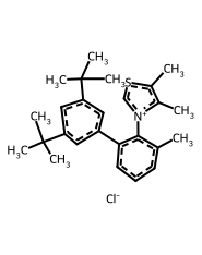 Cc1cccc(-c2cc(C(C)(C)C)cc(C(C)(C)C)c2)c1-[n+]1csc(C)c1C.[Cl-]